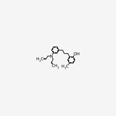 C=CCN(CC=C)c1cccc(CCCc2cc(C)ccc2O)c1